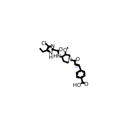 CCc1[nH]c(C(=O)NC2CCN(C(=O)/C=C/c3ccc(C(=O)O)cc3)CC2OC)nc1Cl